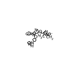 C=[N+]([O-])c1ncc(COc2cnc3cc(N4CCOCC4)nc(O[C@H]4CC[C@@H](Nc5ccccn5)CC4)c3c2)n1C